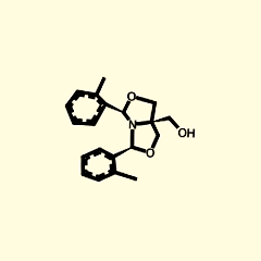 Cc1ccccc1[C@H]1OC[C@]2(CO)CO[C@@H](c3ccccc3C)N12